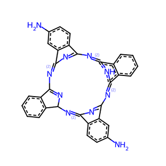 Nc1ccc2c(c1)C1=NC/2=N\C2N=C(/N=C3N=C(/N=c4\[nH]/c(c5ccccc45)=N\1)c1ccc(N)cc1\3)c1ccccc12